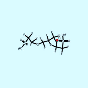 O=S(=O)(O)C(F)(F)C(F)(F)OC(F)(F)C(F)(OC(F)(F)C(F)(F)S(=O)(=O)O)C(O)(F)F